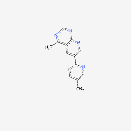 Cc1ccc(-c2cnc3ncnc(C)c3c2)nc1